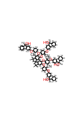 CC1(C)CC2(CC(C)(C)c3cc(Oc4cccc(Oc5ccc(C(C)(O)c6ccccc6)cc5)c4C#N)c(Oc4cccc(Oc5ccc(C(C)(O)c6ccccc6)cc5)c4C#N)cc32)c2cc(Oc3cccc(Oc4ccc(C(C)(O)c5ccccc5)cc4)c3C#N)c(Oc3cccc(Oc4ccc(C(C)(O)c5ccccc5)cc4)c3C#N)cc21